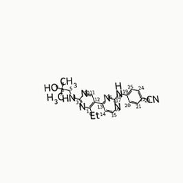 CCc1nc(NCC(C)(C)O)ncc1-c1ccnc(Nc2ccc(C#N)cc2)n1